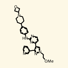 COCCn1cc(-c2ccnc(Nc3ccc(C4CCN(C5COC5)CC4)cc3)n2)c(-c2cccnc2)n1